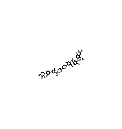 COc1cc(N2CCC(N3CCN(C(=O)[C@H]4CN(c5cc(F)c([C@H]6CCC(=O)NC6=O)c(F)c5)CC4(C)C)CC3)CC2)c(C)cc1Nc1ncc(Br)c(Nc2ccc3nc(C)c(F)cc3c2P(C)(C)=O)n1